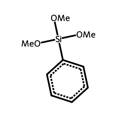 CO[Si](OC)(OC)c1ccccc1